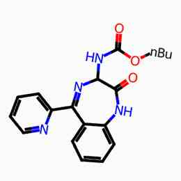 CCCCOC(=O)NC1N=C(c2ccccn2)c2ccccc2NC1=O